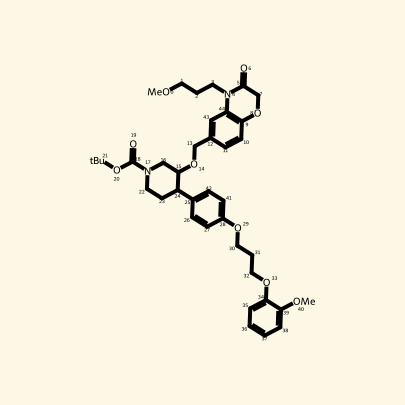 COCCCN1C(=O)COc2ccc(COC3CN(C(=O)OC(C)(C)C)CCC3c3ccc(OCCCOc4ccccc4OC)cc3)cc21